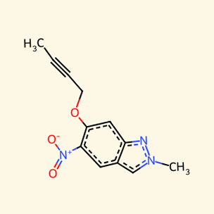 CC#CCOc1cc2nn(C)cc2cc1[N+](=O)[O-]